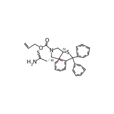 C=CCOC(=O)N1C[C@@H](SC(c2ccccc2)(c2ccccc2)c2ccccc2)C[C@@H]1CC(N)=S